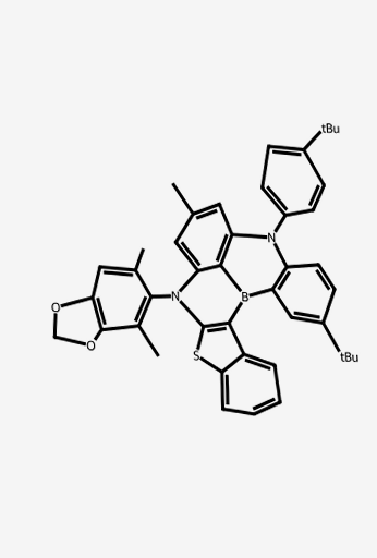 Cc1cc2c3c(c1)N(c1c(C)cc4c(c1C)OCO4)c1sc4ccccc4c1B3c1cc(C(C)(C)C)ccc1N2c1ccc(C(C)(C)C)cc1